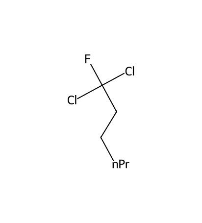 CCCCCC(F)(Cl)Cl